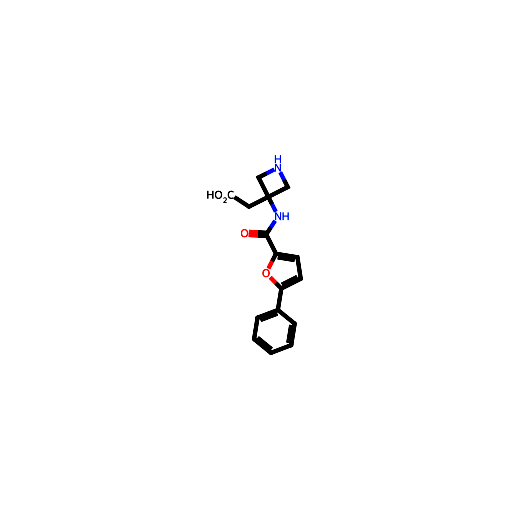 O=C(O)CC1(NC(=O)c2ccc(-c3ccccc3)o2)CNC1